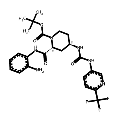 CC(C)(C)OC(=O)N1CC[C@@H](NC(=O)Nc2ccc(C(F)(F)F)nc2)C[C@@H]1C(=O)Nc1ccccc1N